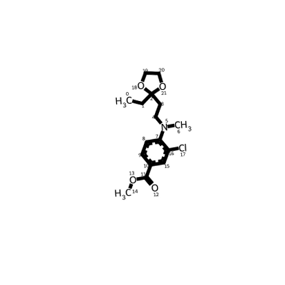 CCC1(CCN(C)c2ccc(C(=O)OC)cc2Cl)OCCO1